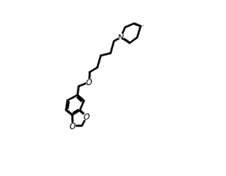 [CH]1CCN(CCCCCOCc2ccc3c(c2)OCO3)CC1